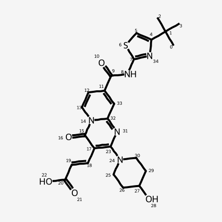 CC(C)(C)c1csc(NC(=O)c2ccn3c(=O)c(C=CC(=O)O)c(N4CCC(O)CC4)nc3c2)n1